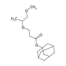 COCC(C)OCCC(=O)OC12CC3CC(CC(C3)C1)C2